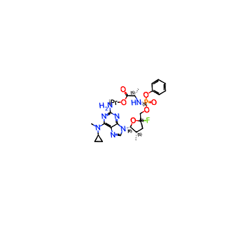 CC(C)OC(=O)[C@H](C)N[P@](=O)(OC[C@]1(F)C[C@H](C)[C@H](n2cnc3c(N(C)C4CC4)nc(N)nc32)O1)Oc1ccccc1